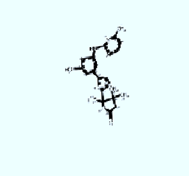 Cc1cc(Nc2nccc(C)n2)cc(-c2cnc(C3(C)OC(=O)CC3(C)C)s2)c1